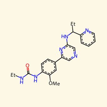 CCNC(=O)Nc1ccc(-c2cncc(NC(CC)c3ccccn3)n2)cc1OC